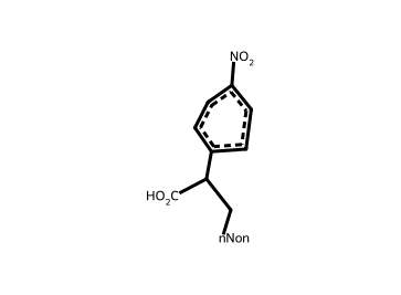 CCCCCCCCCCC(C(=O)O)c1ccc([N+](=O)[O-])cc1